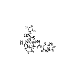 Cn1nccc1-c1cc(-c2cnn3ccnc3c2)nc2sc([S+]([O-])C3CCC3)c(N)c12